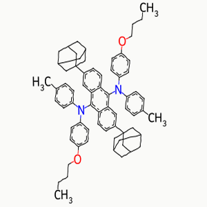 CCCCOc1ccc(N(c2ccc(C)cc2)c2c3ccc(C45CC6CC(CC(C6)C4)C5)cc3c(N(c3ccc(C)cc3)c3ccc(OCCCC)cc3)c3ccc(C45CC6CC(CC(C6)C4)C5)cc23)cc1